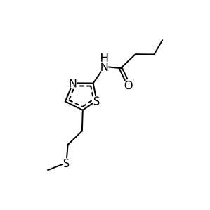 CCCC(=O)Nc1ncc(CCSC)s1